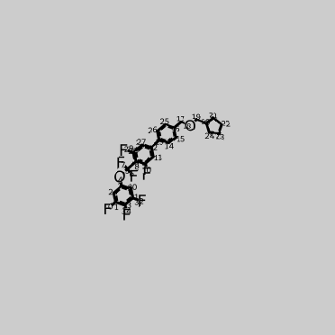 Fc1cc(OC(F)(F)c2c(F)cc(-c3ccc(COCC4CCCC4)cc3)cc2F)cc(F)c1F